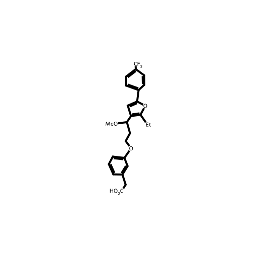 CCc1oc(-c2ccc(C(F)(F)F)cc2)cc1C(CCOc1cccc(CC(=O)O)c1)OC